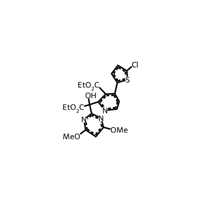 CCOC(=O)c1c(-c2ccc(Cl)s2)ccnc1C(O)(C(=O)OCC)c1nc(OC)cc(OC)n1